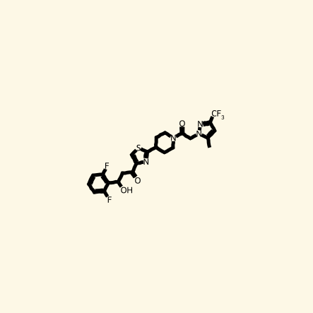 Cc1cc(C(F)(F)F)nn1CC(=O)N1CCC(c2nc(C(=O)CC(O)c3c(F)cccc3F)cs2)CC1